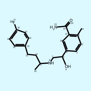 Cc1ccc(C(O)CNC(C)CCc2ccc([18F])cc2)cc1C(N)=O